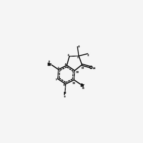 CC1(C)Cc2c(Br)cc(F)c(Br)c2C1=O